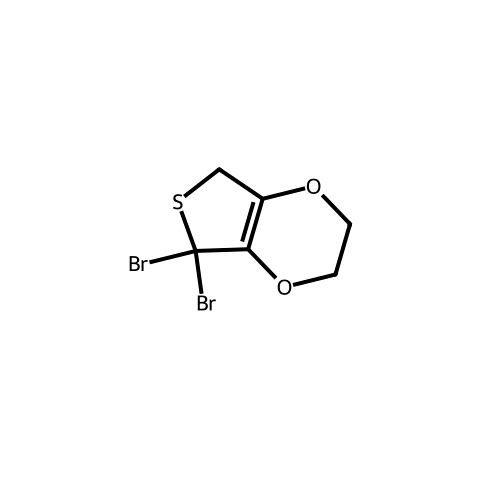 BrC1(Br)SCC2=C1OCCO2